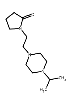 CC(C)N1CCN(CCN2CCCC2=O)CC1